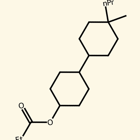 CCCC1(C)CCC(C2CCC(OC(=O)CC)CC2)CC1